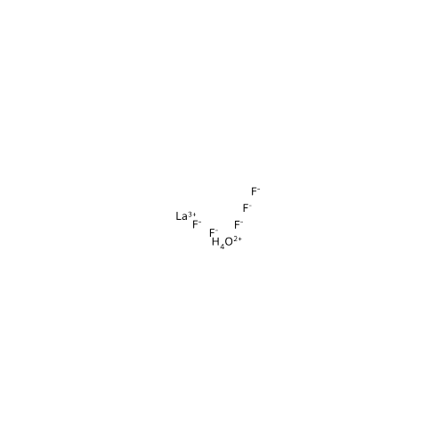 [F-].[F-].[F-].[F-].[F-].[La+3].[OH4+2]